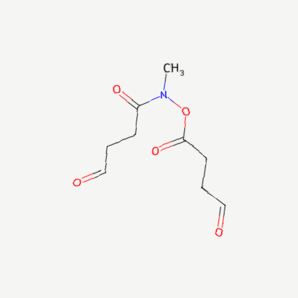 CN(OC(=O)CCC=O)C(=O)CCC=O